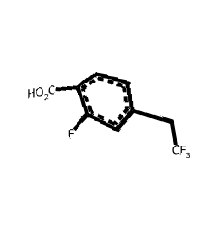 O=C(O)c1ccc(CC(F)(F)F)cc1F